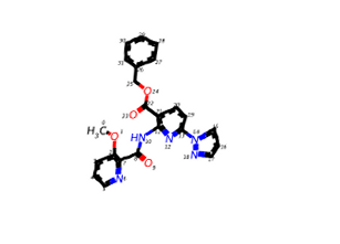 COc1cccnc1C(=O)Nc1nc(-n2cccn2)ccc1C(=O)OCc1ccccc1